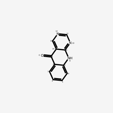 O=c1c2ccccc2[nH]c2ncncc12